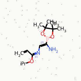 C=C/C(=N\C=C(/N)B1OC(C)(C)C(C)(C)O1)OC(C)C